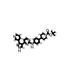 CC(C)(C)OC(=O)N1CCC(c2ccc(Nc3nccc(-c4c[nH]nc4-c4cccnc4)n3)cc2)CC1